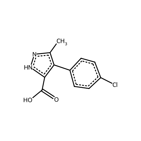 Cc1n[nH]c(C(=O)O)c1-c1ccc(Cl)cc1